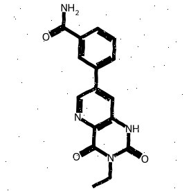 CCn1c(=O)[nH]c2cc(-c3cccc(C(N)=O)c3)cnc2c1=O